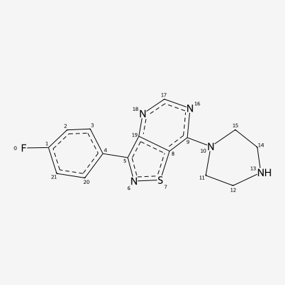 Fc1ccc(-c2nsc3c(N4CCNCC4)ncnc23)cc1